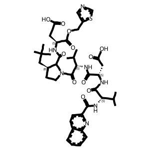 CC(C)[C@H](NC(=O)c1ccc2ccccc2n1)C(=O)N[C@@H](CC(=O)O)C(=O)N[C@H](C(=O)N1CC[C@@H](CC(C)(C)C)C1C(=O)N[C@@H](CC(=O)O)C(=O)OCc1cncs1)C(C)C